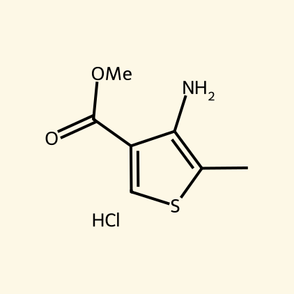 COC(=O)c1csc(C)c1N.Cl